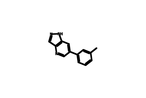 Cc1cccc(-c2cnc3cn[nH]c3c2)c1